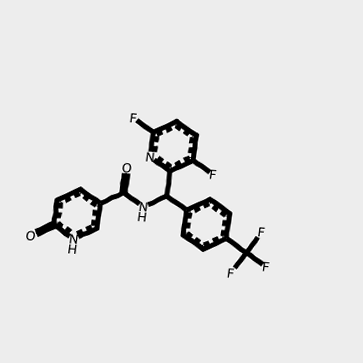 O=C(NC(c1ccc(C(F)(F)F)cc1)c1nc(F)ccc1F)c1ccc(=O)[nH]c1